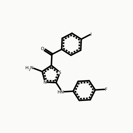 Nc1nc(Nc2ccc(F)cc2)sc1C(=O)c1ccc(I)cc1